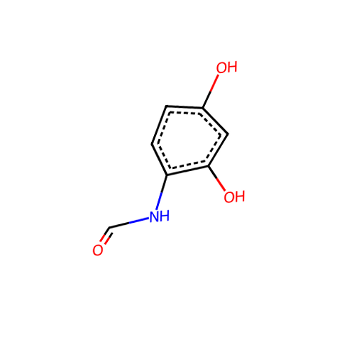 O=CNc1ccc(O)cc1O